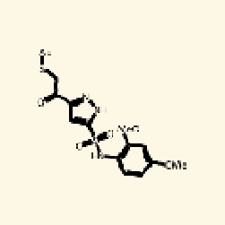 COc1ccc(NS(=O)(=O)c2cc(C(=O)CSC(C)=O)n[nH]2)c(OC)c1